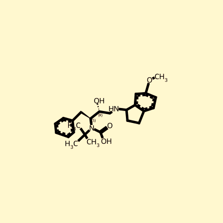 COc1ccc2c(c1)C(NC[C@@H](O)[C@H](Cc1ccccc1)N(C(=O)O)C(C)(C)C)CC2